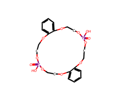 O=P1(O)OCCOc2ccccc2OCCOP(=O)(O)OCCOc2ccccc2OCCO1